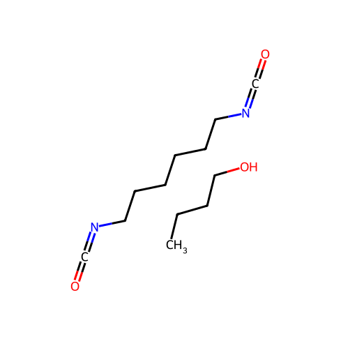 CCCCO.O=C=NCCCCCCN=C=O